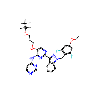 CCOc1cc(F)c(Cn2nc(-c3ncc(OCCCO[Si](C)(C)C(C)(C)C)c(Nc4ccncn4)n3)c3ccccc32)c(F)c1